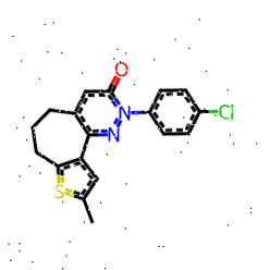 Cc1cc2c(s1)CCCc1cc(=O)n(-c3ccc(Cl)cc3)nc1-2